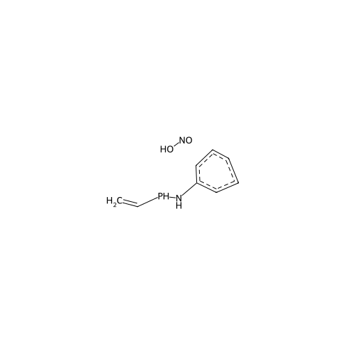 C=CPNc1ccccc1.O=NO